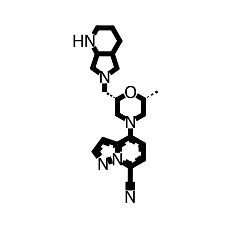 C[C@@H]1CN(c2ccc(C#N)n3nccc23)C[C@H](CN2CC3CCCNC3C2)O1